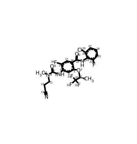 C[C@H](Oc1cc(NC(=O)N(C)CCC#N)c(F)cc1C(=O)Nc1c(F)cccc1Cl)C(F)(F)F